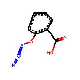 [N-]=[N+]=NOc1ccccc1C(=O)O